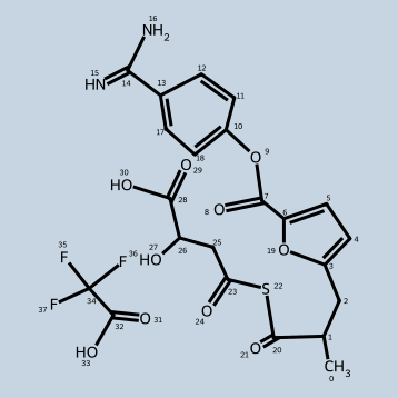 CC(Cc1ccc(C(=O)Oc2ccc(C(=N)N)cc2)o1)C(=O)SC(=O)CC(O)C(=O)O.O=C(O)C(F)(F)F